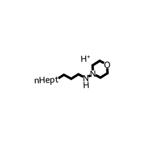 CCCCCCCCCCNN1CCOCC1.[H+]